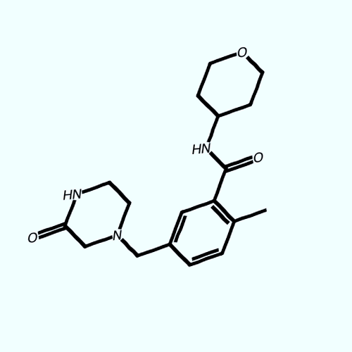 Cc1ccc(CN2CCNC(=O)C2)cc1C(=O)NC1CCOCC1